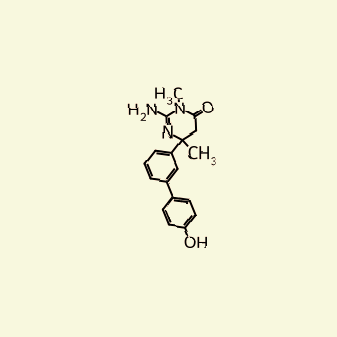 CN1C(=O)CC(C)(c2cccc(-c3ccc(O)cc3)c2)N=C1N